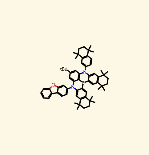 CC(C)(C)c1cc2c3c(c1)N(c1ccc4c(c1)oc1ccccc14)c1cc4c(cc1B3c1cc3c(cc1N2c1ccc2c(c1)C(C)(C)CCC2(C)C)C(C)(C)CCC3(C)C)C(C)(C)CCC4(C)C